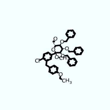 CCOc1ccc(Cc2cc([C@]3(OC)O[C@H](C=O)[C@@H](OCc4ccccc4)[C@H](OCc4ccccc4)[C@H]3OCc3ccccc3)ccc2Cl)cc1